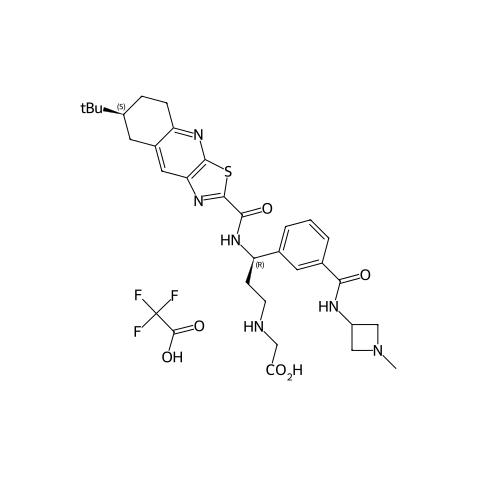 CN1CC(NC(=O)c2cccc([C@@H](CCNCC(=O)O)NC(=O)c3nc4cc5c(nc4s3)CC[C@H](C(C)(C)C)C5)c2)C1.O=C(O)C(F)(F)F